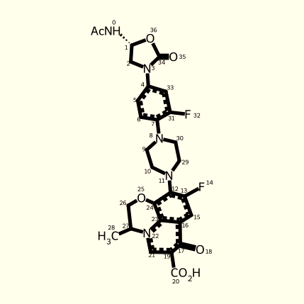 CC(=O)N[C@H]1CN(c2ccc(N3CCN(c4c(F)cc5c(=O)c(C(=O)O)cn6c5c4OCC6C)CC3)c(F)c2)C(=O)O1